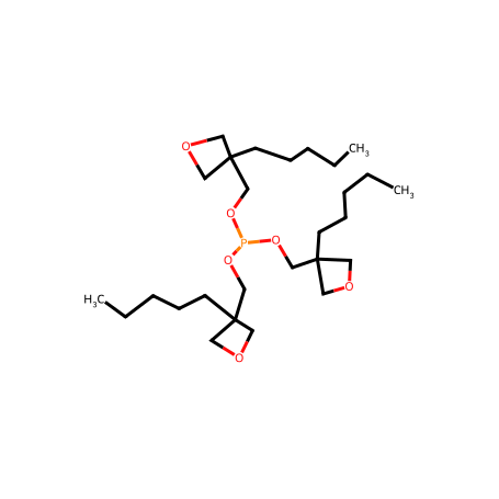 CCCCCC1(COP(OCC2(CCCCC)COC2)OCC2(CCCCC)COC2)COC1